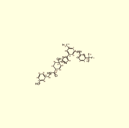 Cc1cc(Nc2nccc(C(F)(F)F)n2)cc(-c2cnc(C3(O)CCC(C(=O)NCc4cccc(O)c4)CC3)s2)c1